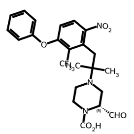 CC(C)(Cc1c([N+](=O)[O-])ccc(Oc2ccccc2)c1C(F)(F)F)N1CCN(C(=O)O)[C@@H](C=O)C1